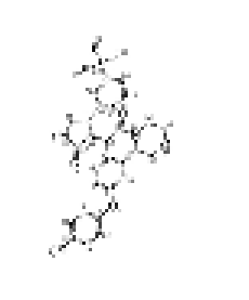 O=C(C(c1ccc(Oc2ccc(Cl)cc2)cc1)N1C(=O)NCC1c1cccc(C(F)(F)F)c1)N1CCOCC1